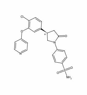 NS(=O)(=O)c1ccc(N2C[C@@H](c3ccc(Cl)c(Oc4ccncc4)c3)CC2=O)cc1